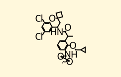 CC(C(=O)NC1CC2(CCC2)Oc2c(Cl)cc(Cl)cc21)c1cccc(NS(C)(=O)=O)c1OCC1CC1